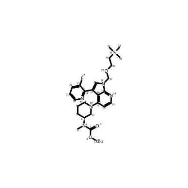 CN(C(=O)OC(C)(C)C)[C@H]1CCCN(c2ccnc3c2c(-c2ncccc2F)cn3COCC[Si](C)(C)C)C1